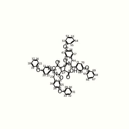 O=C(O)C1C(C(=O)N(Cc2ccc(Oc3ccccc3)cc2)Cc2ccc(Oc3ccccc3)cc2)C(C(=O)O)C1C(=O)N(Cc1ccc(Oc2ccccc2)cc1)Cc1ccc(Oc2ccccc2)cc1